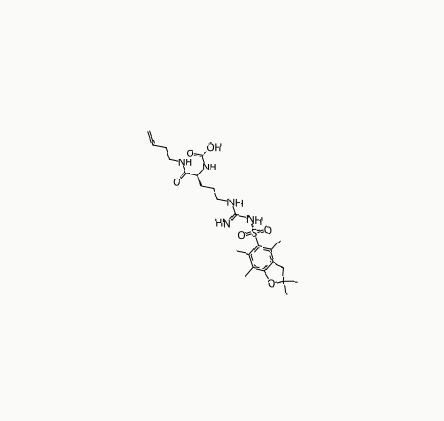 C=CCCNC(=O)[C@H](CCCNC(=N)NS(=O)(=O)c1c(C)c(C)c2c(c1C)CC(C)(C)O2)NC(=O)O